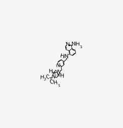 CC(C)N1C[C@H]2C[C@@H]1CN2Cc1cc(CNc2cccc3c(N)nccc23)ccn1